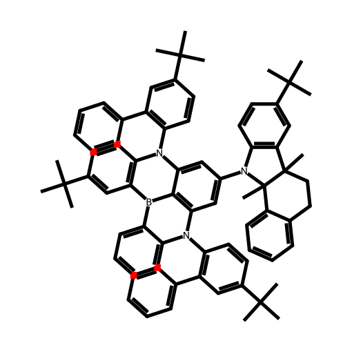 CC(C)(C)c1ccc2c(c1)B1c3ccccc3N(c3ccc(C(C)(C)C)cc3-c3ccccc3)c3cc(N4c5ccc(C(C)(C)C)cc5C5(C)CCc6ccccc6C45C)cc(c31)N2c1ccc(C(C)(C)C)cc1-c1ccccc1